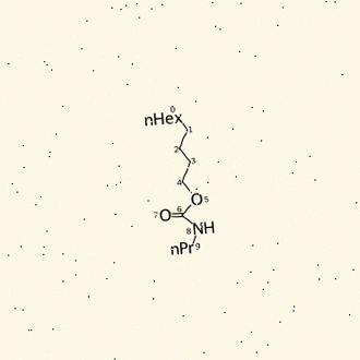 CCCCCCCCCCOC(=O)NCCC